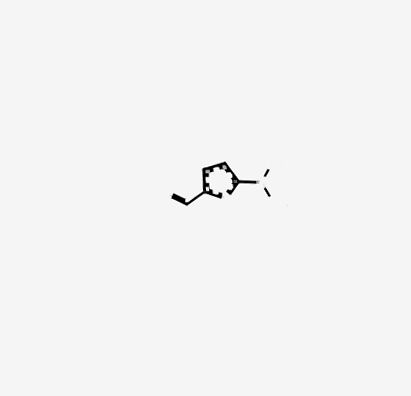 CN(C)c1ccc(C=O)s1